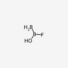 BB(O)F